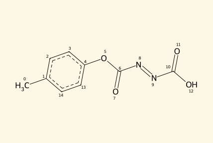 Cc1ccc(OC(=O)N=NC(=O)O)cc1